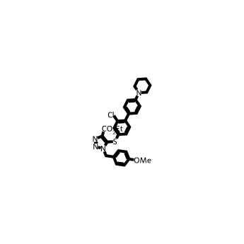 CCOC(=O)c1nnn(Cc2ccc(OC)cc2)c1Sc1ccc(-c2ccc(N3CCCCC3)cc2)c(Cl)c1